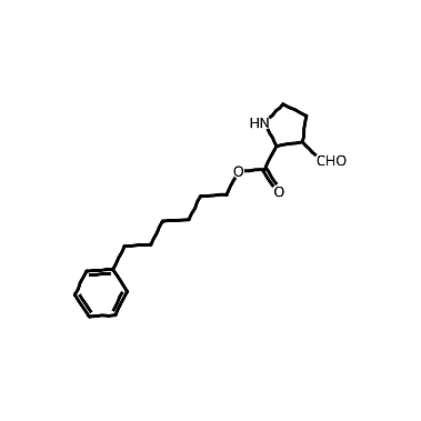 O=CC1CCNC1C(=O)OCCCCCCc1ccccc1